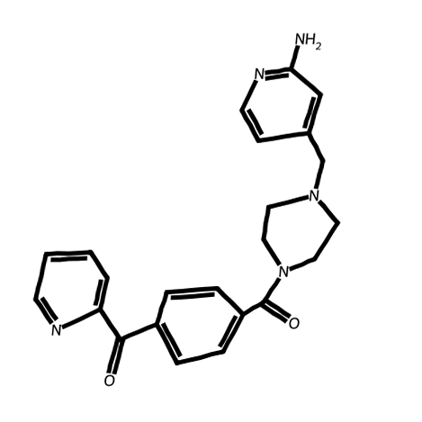 Nc1cc(CN2CCN(C(=O)c3ccc(C(=O)c4ccccn4)cc3)CC2)ccn1